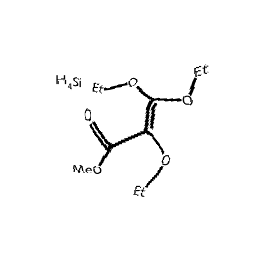 CCOC(OCC)=C(OCC)C(=O)OC.[SiH4]